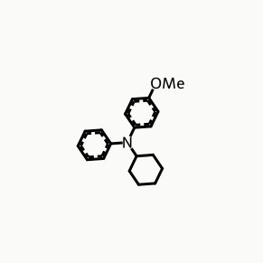 COc1ccc(N(c2ccccc2)C2CCCCC2)cc1